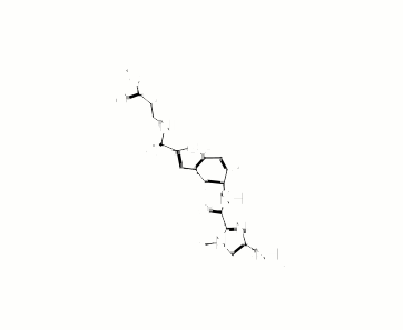 COC(=O)CCNC(=O)c1cc2cc(NC(=O)c3nc(N)cn3C)ccc2o1